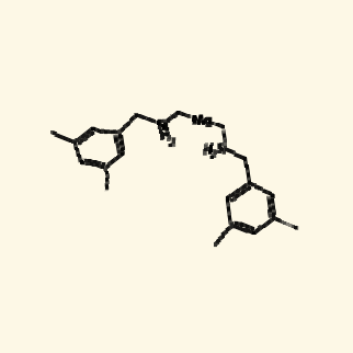 Cc1cc(C)cc(C[SiH2][CH2][Mg][CH2][SiH2]Cc2cc(C)cc(C)c2)c1